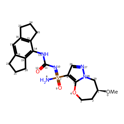 CO[C@H]1CCOc2c(S(N)(=O)=NC(=O)Nc3c4c(cc5c3CCC5)CCC4)cnn2C1